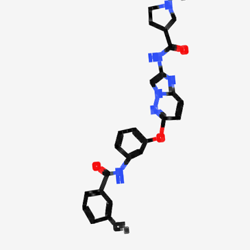 CN1CCC(C(=O)Nc2cn3nc(Oc4cccc(NC(=O)c5cccc(C(F)(F)F)c5)c4)ccc3n2)C1